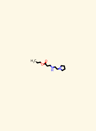 CCCOC(=O)CCNCCN1CCCC1